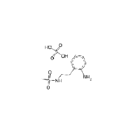 CS(=O)(=O)NCCc1ccccc1N.O=S(=O)(O)O